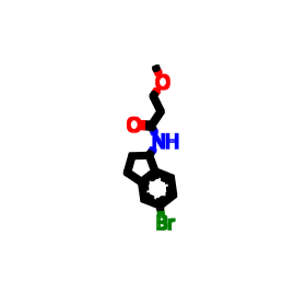 COCCC(=O)NC1CCc2cc(Br)ccc21